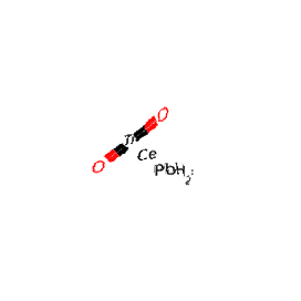 [Ce].[O]=[Ti]=[O].[PbH2]